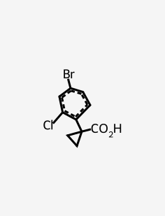 O=C(O)C1(c2ccc(Br)cc2Cl)CC1